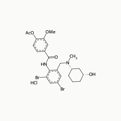 COc1cc(C(=O)Nc2c(Br)cc(Br)cc2CN(C)[C@H]2CCC[C@@H](O)C2)ccc1OC(C)=O.Cl